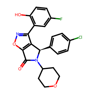 O=C1c2onc(-c3cc(F)ccc3O)c2[C@@H](c2ccc(Cl)cc2)N1C1CCOCC1